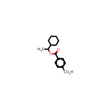 CC(OC(=O)c1ccc(C(=O)O)cc1)C1CCCCC1